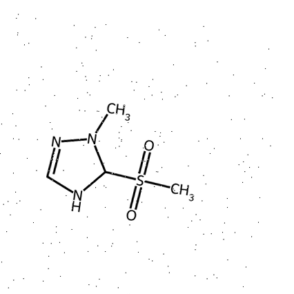 CN1N=CNC1S(C)(=O)=O